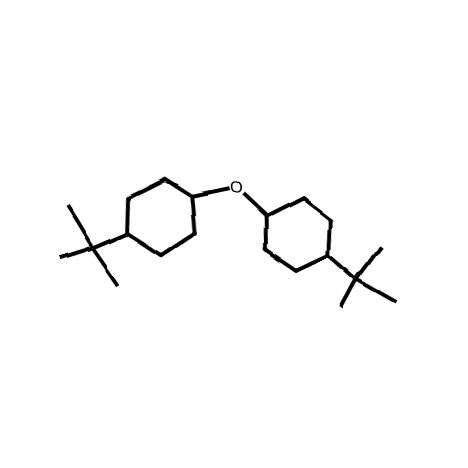 CC(C)(C)C1CCC(OC2CCC(C(C)(C)C)CC2)CC1